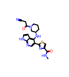 CNC(=O)c1csc(-c2cnc3[nH]ccc3c2N[C@@H]2CCCN(C(=O)CC#N)C2)n1